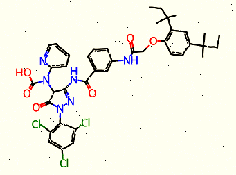 CCC(C)(C)c1ccc(OCC(=O)Nc2cccc(C(=O)NC3=NN(c4c(Cl)cc(Cl)cc4Cl)C(=O)C3N(C(=O)O)c3ccccn3)c2)c(C(C)(C)CC)c1